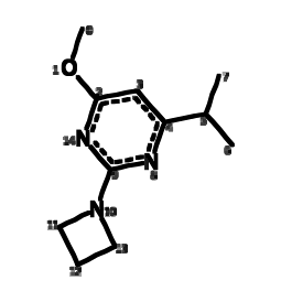 COc1cc(C(C)C)nc(N2CCC2)n1